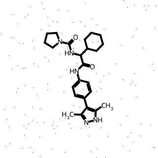 Cc1n[nH]c(C)c1-c1ccc(NC(=O)C(NC(=O)N2CCCC2)C2CCCCC2)cc1